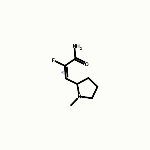 CN1CCCC1/C=C(/F)C(N)=O